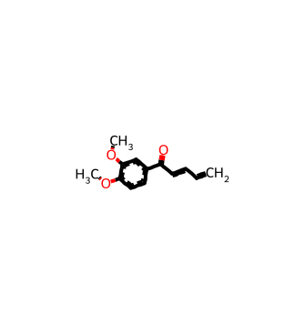 C=CC=CC(=O)c1ccc(OC)c(OC)c1